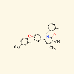 Cc1cccc(Cn2c(-c3ccc(Oc4ccc(C(C)(C)C)cc4C)cc3)cc(C(F)(F)F)c(C#N)c2=O)c1